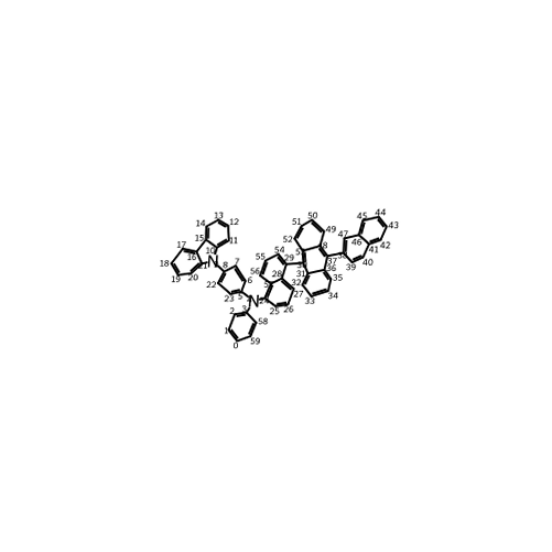 c1ccc(N(c2ccc(-n3c4ccccc4c4ccccc43)cc2)c2cccc3c(-c4c5ccccc5c(-c5ccc6ccccc6c5)c5ccccc45)cccc23)cc1